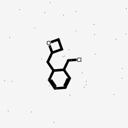 ClCC1C=CC=CC1CC1CCO1